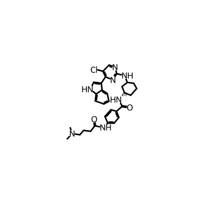 CN(C)CCCC(=O)Nc1ccc(C(=O)N[C@H]2CCCC(Nc3ncc(Cl)c(-c4c[nH]c5ccccc45)n3)C2)cc1